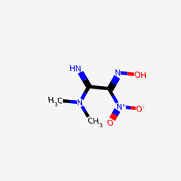 CN(C)C(=N)C(=NO)[N+](=O)[O-]